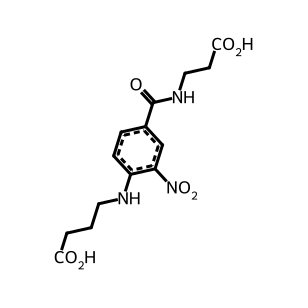 O=C(O)CCCNc1ccc(C(=O)NCCC(=O)O)cc1[N+](=O)[O-]